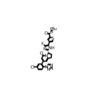 CC(C)(C)OC(=O)c1cc(-c2[nH]c([C@@H]3CCc4cc(-c5cc(Cl)ccc5-n5cnnn5)cc(=O)n43)nc2F)cs1